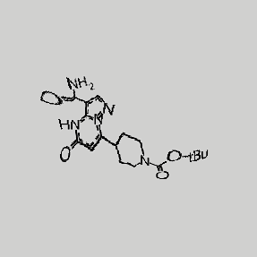 CC(C)(C)OC(=O)N1CCC(c2cc(=O)[nH]c3c(C(N)=O)cnn23)CC1